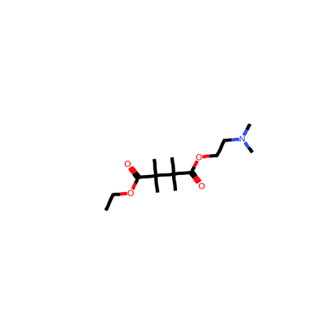 CCOC(=O)C(C)(C)C(C)(C)C(=O)OCCN(C)C